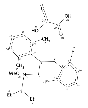 CCC(CC)N(CC(Cc1c(F)cccc1F)c1c(C)cccc1C)OC.O=C(O)C(=O)O